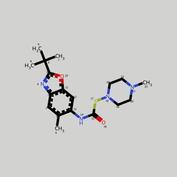 Cc1cc2nc(C(C)(C)C)oc2cc1NC(=O)SN1CCN(C)CC1